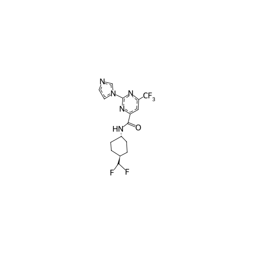 O=C(N[C@H]1CC[C@H](C(F)F)CC1)c1cc(C(F)(F)F)nc(-n2ccnc2)n1